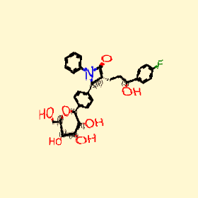 O=C1[C@H](CC[C@H](O)c2ccc(F)cc2)[C@@H](c2ccc([C@@H]3O[C@H](CO)[C@@H](O)[C@H](O)[C@H]3O)cc2)N1c1ccccc1